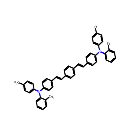 CCc1ccc(N(c2ccc(C=Cc3ccc(C=Cc4ccc(N(c5ccc(C)cc5)c5ccccc5C)cc4)cc3)cc2)c2ccccc2CC)cc1